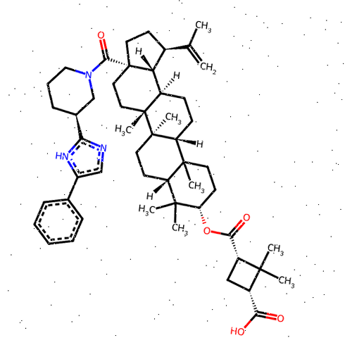 C=C(C)[C@@H]1CC[C@]2(C(=O)N3CCC[C@H](c4ncc(-c5ccccc5)[nH]4)C3)CC[C@]3(C)[C@H](CC[C@@H]4C5(C)CC[C@H](OC(=O)[C@H]6C[C@@H](C(=O)O)C6(C)C)C(C)(C)[C@@H]5CC[C@]43C)[C@@H]12